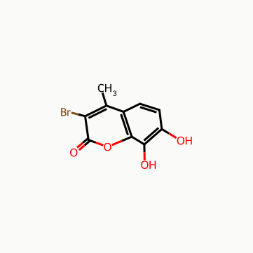 Cc1c(Br)c(=O)oc2c(O)c(O)ccc12